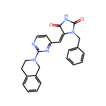 O=C1NC(=O)N(Cc2ccccc2)/C1=C/c1ccnc(N2CCc3ccccc3C2)n1